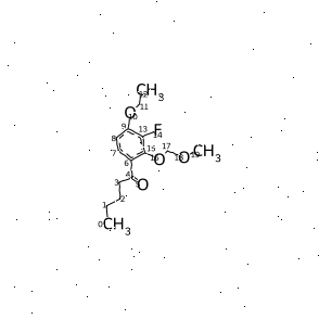 CCCCC(=O)c1ccc(OCC)c(F)c1OCOC